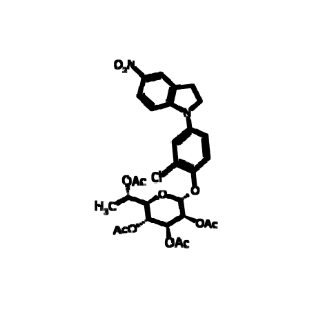 CC(=O)O[C@H]1[C@H](OC(C)=O)[C@@H]([C@H](C)OC(C)=O)O[C@H](Oc2ccc(N3CCc4cc([N+](=O)[O-])ccc43)cc2Cl)[C@H]1OC(C)=O